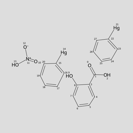 O=C(O)c1ccccc1O.O=[N+]([O-])O.[Hg][c]1ccccc1.[Hg][c]1ccccc1